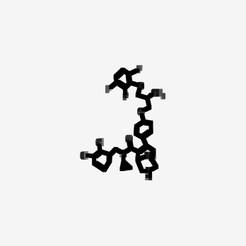 C[C@@H](COc1ccc(C2=C(C(=O)N(Cc3cccc(Cl)c3Cl)C3CC3)C3CNCC(C2)N3)cc1)COc1c(F)ccc(F)c1F